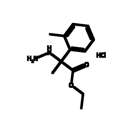 CCOC(=O)C(C)(NN)c1ccccc1C.Cl